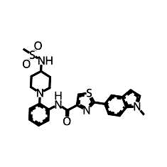 Cn1ccc2cc(-c3nc(C(=O)Nc4ccccc4N4CCC(NS(C)(=O)=O)CC4)cs3)ccc21